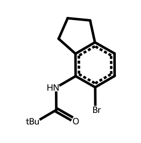 CC(C)(C)C(=O)Nc1c(Br)ccc2c1CCC2